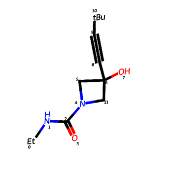 CCNC(=O)N1CC(O)(C#CC(C)(C)C)C1